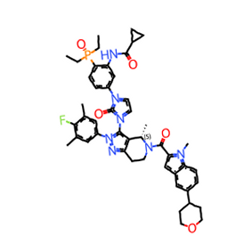 CCP(=O)(CC)c1ccc(-n2ccn(-c3c4c(nn3-c3cc(C)c(F)c(C)c3)CCN(C(=O)c3cc5cc(C6CCOCC6)ccc5n3C)[C@H]4C)c2=O)cc1NC(=O)C1CC1